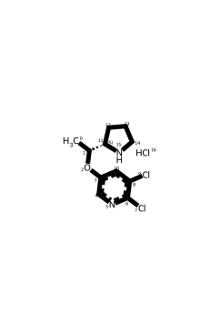 CC(Oc1cnc(Cl)c(Cl)c1)[C@@H]1CCCN1.Cl